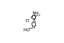 Cc1cc(N2CC[N+](C)(CCO)CC2)ccc1N.[Cl-]